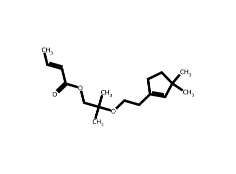 CC=CC(=O)OCC(C)(C)OCCC1=CC(C)(C)CC1